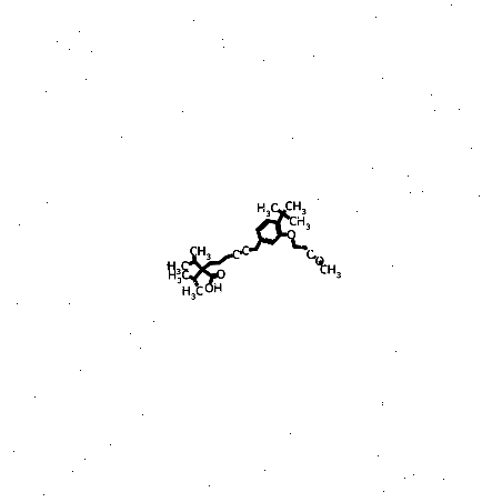 COCCCOc1cc(CCCCCCC(C(=O)O)(C(C)C)C(C)C)ccc1C(C)(C)C